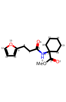 COC(=O)C1(NC(=O)CCc2ccco2)CCCCC1